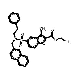 CCOC(=O)c1oc2ccc(S(=O)(=O)N(CCc3ccccc3)Cc3ccc4ccccc4c3)cc2c1C